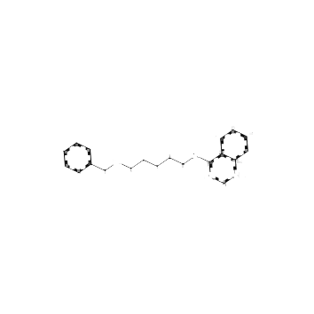 c1ccc(CSCCCCCNc2ncnc3ccccc23)cc1